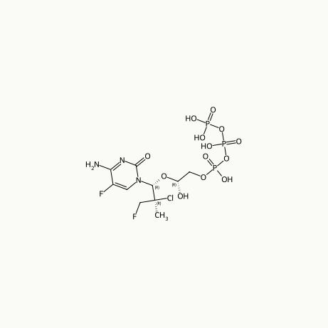 C[C@](Cl)(CF)[C@@H](O[C@@H](O)COP(=O)(O)OP(=O)(O)OP(=O)(O)O)n1cc(F)c(N)nc1=O